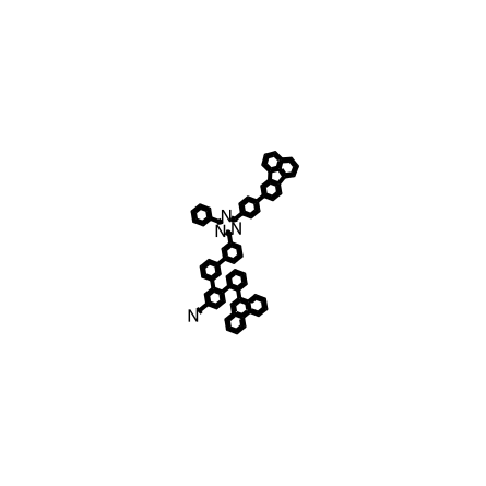 N#Cc1ccc(-c2ccccc2-c2cc3ccccc3c3ccccc23)c(-c2cccc(-c3cccc(-c4nc(-c5ccccc5)nc(-c5ccc(-c6ccc7c(c6)-c6cccc8cccc-7c68)cc5)n4)c3)c2)c1